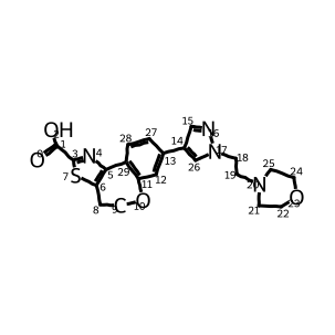 O=C(O)c1nc2c(s1)CCOc1cc(-c3cnn(CCN4CCOCC4)c3)ccc1-2